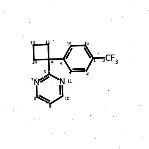 FC(F)(F)c1ccc(C2(c3ncccn3)CCC2)cc1